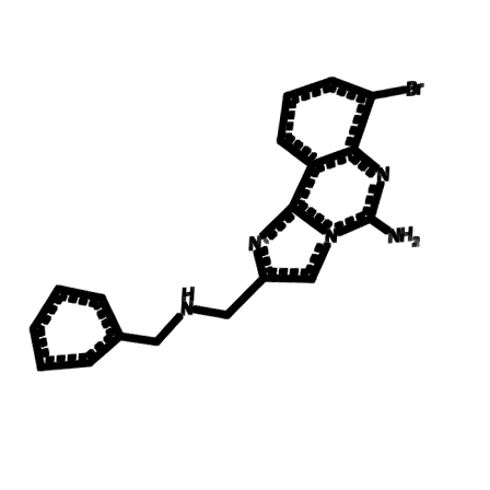 Nc1nc2c(Br)cccc2c2nc(CNCc3ccccc3)cn12